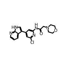 O=C(CN1CCOCC1)Nc1cc(-c2c[nH]c3ncccc23)cc(Cl)n1